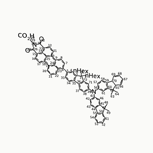 CCCCCCC1(CCCCCC)c2cc(-c3ccc4c5ccc6c7c(ccc(c8cccc3c84)c75)C(=O)N(CC(=O)O)C6=O)ccc2-c2ccc(N(c3ccc4c(c3)C(C)(C)c3ccccc3-4)c3ccc4c(c3)C(C)(C)C3C=CC=CC43)cc21